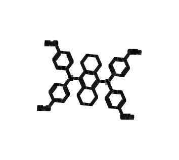 COc1ccc(N(c2ccc(OC)cc2)c2c3c(c(N(c4ccc(OC)cc4)c4ccc(OC)cc4)c4c2CCCC4)CCCC3)cc1